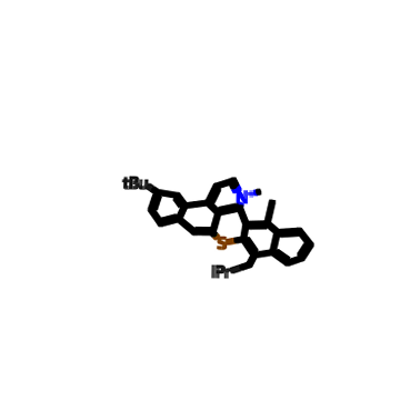 Cc1c2c(c(CC(C)C)c3ccccc13)Sc1cc3ccc(C(C)(C)C)cc3c3cc[n+](C)c-2c13